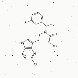 CC(c1cccc(F)c1)N(CCc1c[nH]c2ccc(Cl)nc12)C(=O)OC(C)(C)C